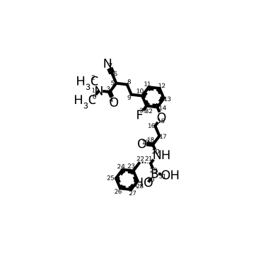 CN(C)C(=O)C(C#N)CCc1cccc(OCCC(=O)N[C@@H](Cc2ccccc2)B(O)O)c1F